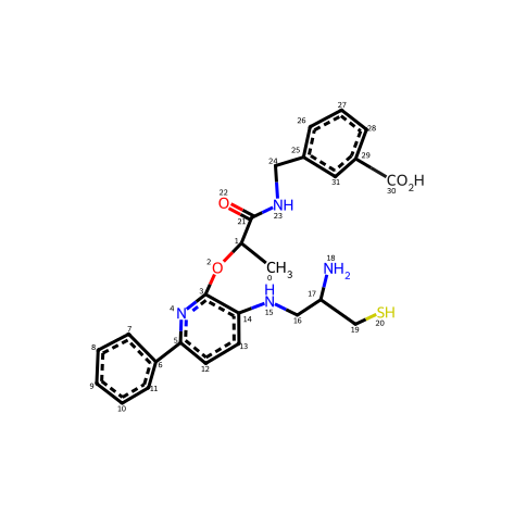 CC(Oc1nc(-c2ccccc2)ccc1NCC(N)CS)C(=O)NCc1cccc(C(=O)O)c1